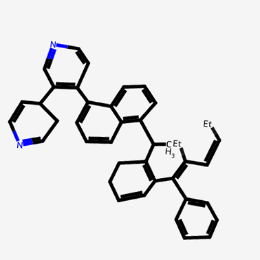 CC/C=C\C(CC)=C(\C1=C(C(C)c2cccc3c(-c4ccncc4C4C=CN=CC4)cccc23)CCC=C1)c1ccccc1